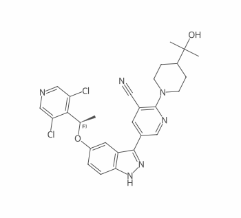 C[C@@H](Oc1ccc2[nH]nc(-c3cnc(N4CCC(C(C)(C)O)CC4)c(C#N)c3)c2c1)c1c(Cl)cncc1Cl